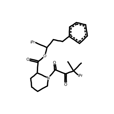 CC(C)C(CCc1ccccc1)OC(=O)C1CCCCN1C(=O)C(=O)C(C)(C)C(C)C